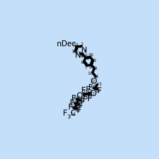 CCCCCCCCCCc1cnc(-c2ccc(CCCOCC(F)(F)OC(F)(F)C(F)(F)OC(F)(F)C(F)(F)C(F)(F)C(F)(F)F)cc2)nc1